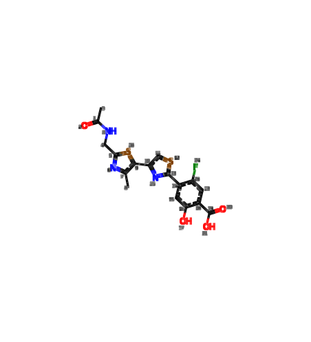 CC(=O)NCc1nc(C)c(-c2csc(-c3cc(O)c(C(=O)O)cc3F)n2)s1